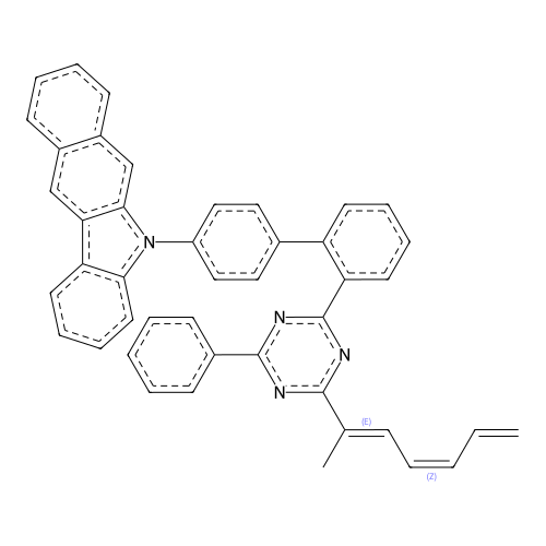 C=C/C=C\C=C(/C)c1nc(-c2ccccc2)nc(-c2ccccc2-c2ccc(-n3c4ccccc4c4cc5ccccc5cc43)cc2)n1